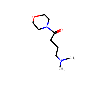 CN(C)CCCC(=O)N1CCOCC1